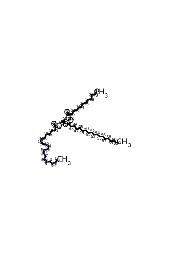 CC/C=C\C/C=C\C/C=C\C/C=C\C/C=C\CCCCCC(=O)OC[C@@H](COC(=O)CCCCCCCCCCCC)OC(=O)CCCCCCCCCCCCCCCCCC